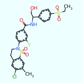 CCS(=O)(=O)c1ccc(C(CO)NC(=O)c2ccc(N3CCc4cc(Cl)c(C)cc4S3(=O)=O)c(F)c2)cc1